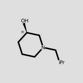 CC(C)CN1CCC[C@@H](O)C1